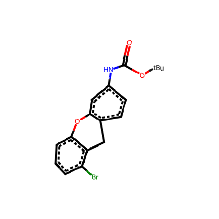 CC(C)(C)OC(=O)Nc1ccc2c(c1)Oc1cccc(Br)c1C2